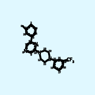 Cc1cccc(-c2cncc(N3CCN(c4cccc(C(F)(F)F)c4)CC3)n2)c1